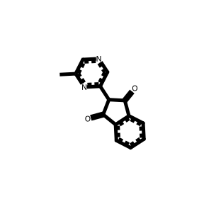 Cc1cncc(C2C(=O)c3ccccc3C2=O)n1